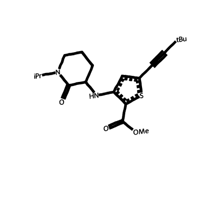 COC(=O)c1sc(C#CC(C)(C)C)cc1NC1CCCN(C(C)C)C1=O